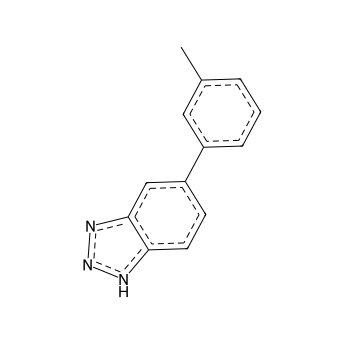 Cc1cccc(-c2ccc3[nH]nnc3c2)c1